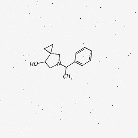 CC(c1ccccc1)N1CC(O)C2(CC2)C1